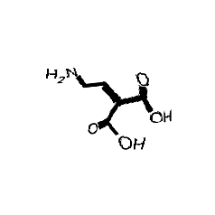 NCC=C(C(=O)O)C(=O)O